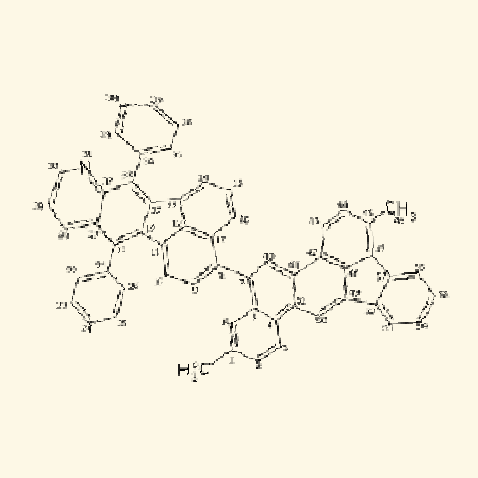 Cc1ccc2c(c1)c(-c1ccc3c4c(cccc14)-c1c-3c(-c3ccccc3)c3cccnc3c1-c1ccccc1)cc1c3ccc(C)c4c3c(cc21)-c1ccccc1-4